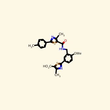 COc1ccc(-c2nc(C)c(C(=O)O)s2)cc1CNC(=O)c1sc(-c2ccc(C)cc2)nc1C